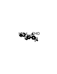 Cc1nc2cc(OC=O)c(-c3cc4c(nn3)N([C@@H]3CC5(CCC5)NC[C@@H]3F)CC4)cc2s1